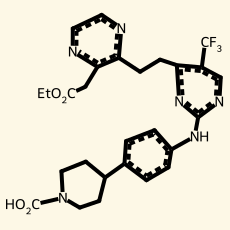 CCOC(=O)Cc1nccnc1CCc1nc(Nc2ccc(C3CCN(C(=O)O)CC3)cc2)ncc1C(F)(F)F